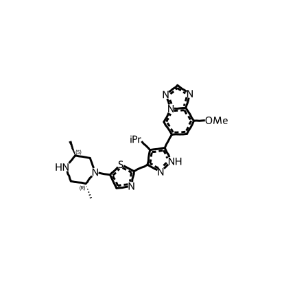 COc1cc(-c2[nH]nc(-c3ncc(N4C[C@H](C)NC[C@H]4C)s3)c2C(C)C)cn2ncnc12